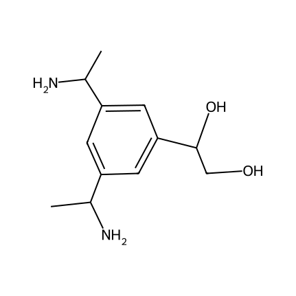 CC(N)c1cc(C(C)N)cc(C(O)CO)c1